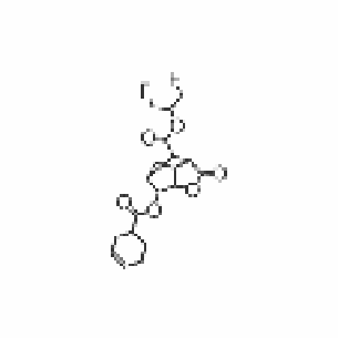 O=C(OC1C2CC3C1OC(=O)C3C2C(=O)OC(CF)CF)C1CC=CCC1